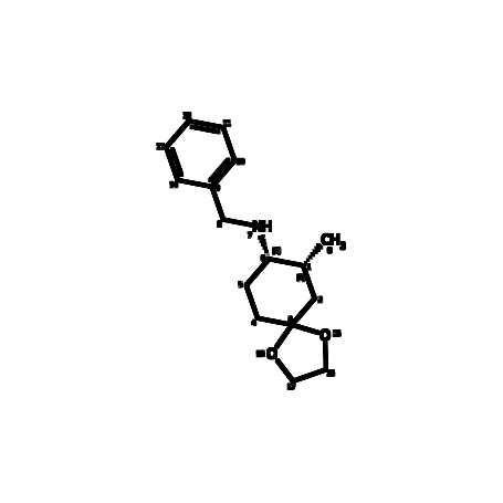 C[C@@H]1CC2(CC[C@@H]1NCc1ccccc1)OCCO2